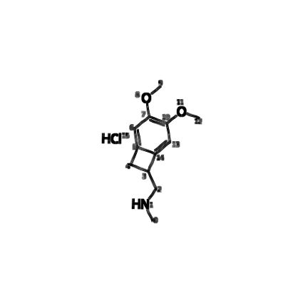 CNCC1Cc2cc(OC)c(OC)cc21.Cl